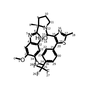 COc1cc2nc([C@]3(C)CCCN3C(=O)c3nc(C)sc3-c3ccc(C(F)(F)F)cc3)[nH]c2cc1OC